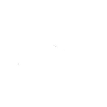 Cc1ccc(NC(=O)c2ccccc2)cc1Cl